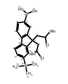 CCCCC(CC)CC1(CC(CC)CCCC)c2cc(B(O)O)ccc2-c2ccc([Si](C)(C)C)cc21